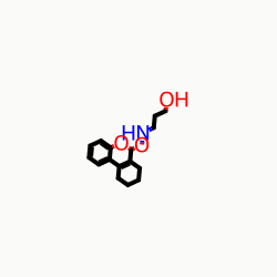 OCCCNOC1Oc2ccccc2C2=C1CCCC2